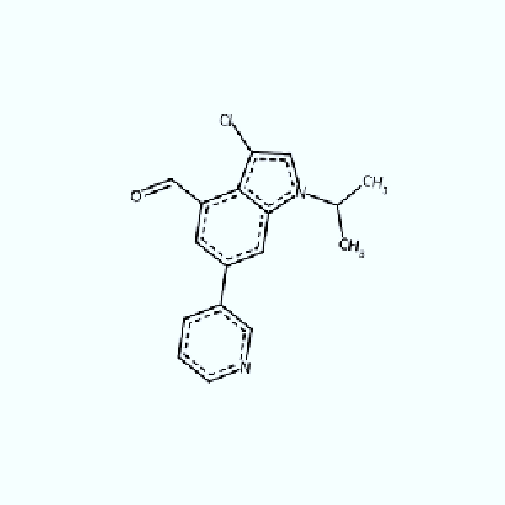 CC(C)n1cc(Cl)c2c(C=O)cc(-c3cccnc3)cc21